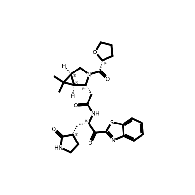 CC1(C)[C@@H]2[C@@H](CC(=O)N[C@@H](C[C@@H]3CCNC3=O)C(=O)c3nc4ccccc4s3)N(C(=O)[C@H]3CCCO3)C[C@@H]21